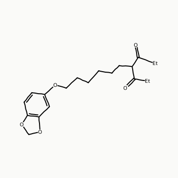 CCC(=O)C(CCCCCCOc1ccc2c(c1)OCO2)C(=O)CC